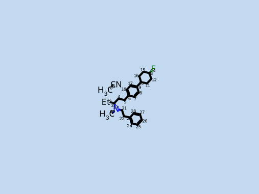 CC#N.CCC(CCc1ccc(C2CCC(F)CC2)cc1)N(C)CCc1ccccc1